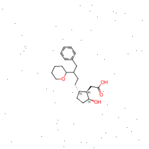 O=C(O)C[C@@H]1[C@@H](CCC(Cc2ccccc2)C2CCCCO2)CC[C@@H]1O